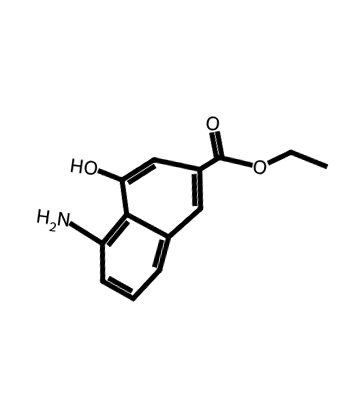 CCOC(=O)c1cc(O)c2c(N)cccc2c1